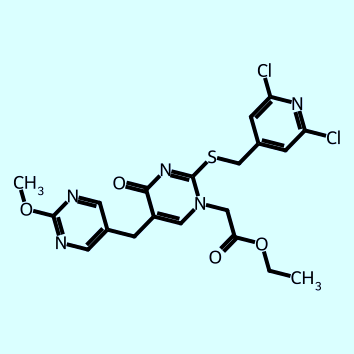 CCOC(=O)Cn1cc(Cc2cnc(OC)nc2)c(=O)nc1SCc1cc(Cl)nc(Cl)c1